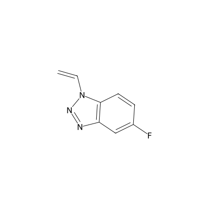 C=Cn1nnc2cc(F)ccc21